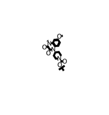 COc1ccc2c(c1)n(C)c(=O)c(=O)n2C1CCN(C(=O)OC(C)(C)C)CC1